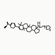 C#CC(=C)C1=CC=C(C2=CCC3(C)C(CCC4(C)C5CCC6(NCCN7CCSC7)CCCC6C5CCC43)C2(C)C)CC1